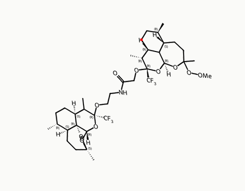 COOC1(C)CC[C@@H]2C3[C@@H](O1)O[C@@](OCC(=O)NCCO[C@@]1(C(F)(F)F)O[C@@H]4O[C@]5(C)CC[C@H]6[C@H](C)CC[C@@H](C1C)[C@@]46OO5)(C(F)(F)F)[C@H](C)[C@@H]3CC[C@H]2C